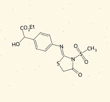 CCOC(=O)C(O)c1ccc(/N=C2\SCC(=O)N2S(C)(=O)=O)cc1